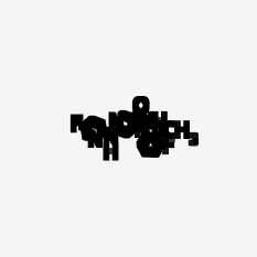 COc1c(F)cccc1-n1[nH]c(=O)c2cnc(Nc3ccc(F)cn3)cc21